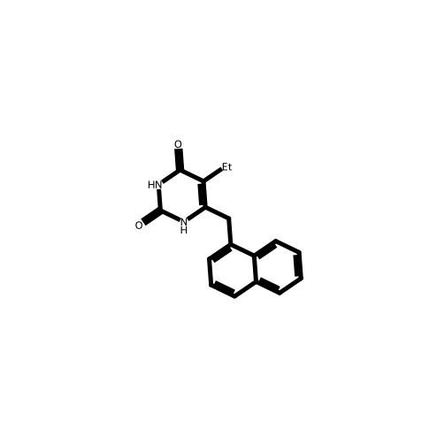 CCc1c(Cc2cccc3ccccc23)[nH]c(=O)[nH]c1=O